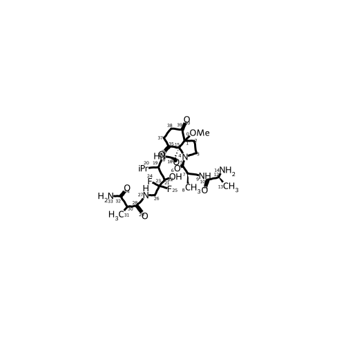 COC12CCN(C(=O)[C@H](C)NC(=O)[C@H](C)N)[C@@]1(C(=O)NC(C(C)C)C(O)C(F)(F)CNC(=O)C(C)C(N)=O)C(=O)CCC2=O